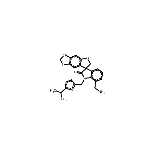 CC(C)c1nc(CN2C(=O)C3(COc4cc5c(cc43)OCO5)c3cccc(CN)c32)cs1